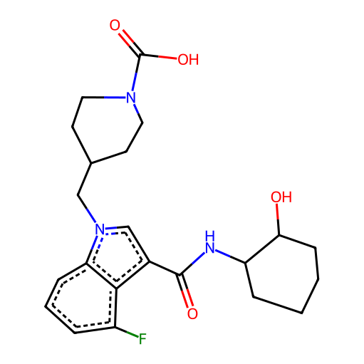 O=C(NC1CCCCC1O)c1cn(CC2CCN(C(=O)O)CC2)c2cccc(F)c12